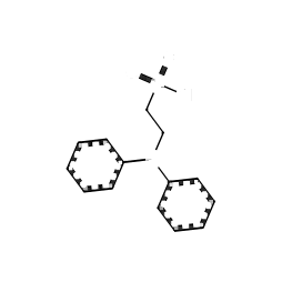 O=S(=O)(Cl)CCP(c1ccccc1)c1ccccc1